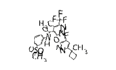 Cc1c(C(F)(F)F)nnc(Oc2nnc(C3(C)CCC3)cc2F)c1C(=O)Nc1cccc(S(C)(=O)=O)c1